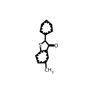 Cc1ccc2c(c1)C(=O)C(c1ccccc1)S2